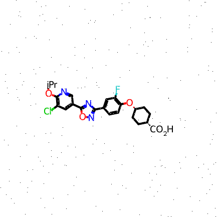 CC(C)Oc1ncc(-c2nc(-c3ccc(O[C@H]4CC[C@@H](C(=O)O)CC4)c(F)c3)no2)cc1Cl